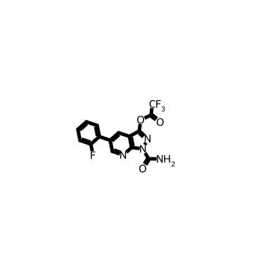 NC(=O)n1nc(OC(=O)C(F)(F)F)c2cc(-c3ccccc3F)cnc21